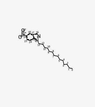 CCCCCCCCCCCCCCn1ncc2cc([N+](=O)[O-])ccc21